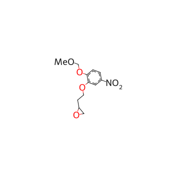 COCOc1ccc([N+](=O)[O-])cc1OCCC1CO1